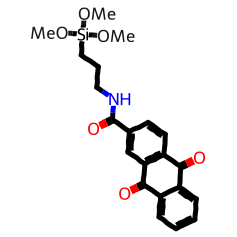 CO[Si](CCCNC(=O)c1ccc2c(c1)C(=O)c1ccccc1C2=O)(OC)OC